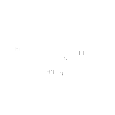 Nc1ccccc1-c1n[nH]c(-c2cccc(Br)c2)n1